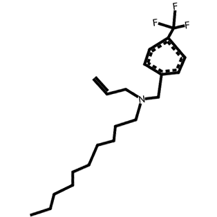 C=CCN(CCCCCCCCCC)Cc1ccc(C(F)(F)F)cc1